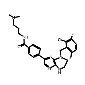 CN(C)CCCNC(=O)c1ccc(-c2cnc3c(n2)N(Cc2c(F)ccc(F)c2Cl)CCN3)cc1